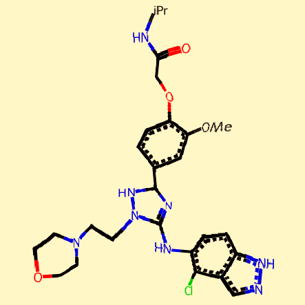 COc1cc(C2N=C(Nc3ccc4[nH]ncc4c3Cl)N(CCN3CCOCC3)N2)ccc1OCC(=O)NC(C)C